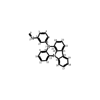 C=Nc1cccc(B2c3ccccc3-n3c4ccccc4c4cccc2c43)c1